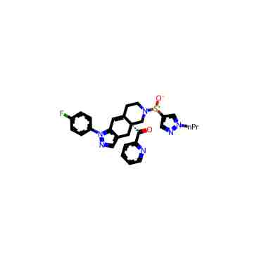 CCCn1cc([S+]([O-])N2CCC3=Cc4c(cnn4-c4ccc(F)cc4)C[C@]3(C(=O)c3ccccn3)C2)cn1